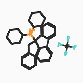 F[B-](F)(F)F.c1ccc(CC2([PH+](C3CCCCC3)C3CCCCC3)c3ccccc3-c3ccccc32)cc1